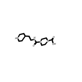 O=C(O)N1CCN(C(=O)NCCC2CCNCC2)CC1